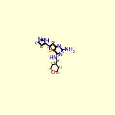 Nc1nc(NCC2CCOCC2)c2sc(-c3ccn[nH]3)cc2n1